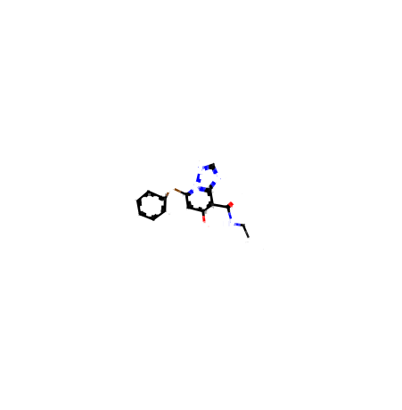 O=C(O)CNC(=O)c1c(O)cc(Sc2ccccc2)n2ncnc12